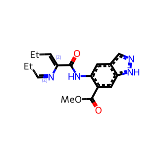 CC/C=N\C(=C/CC)C(=O)Nc1cc2cn[nH]c2cc1C(=O)OC